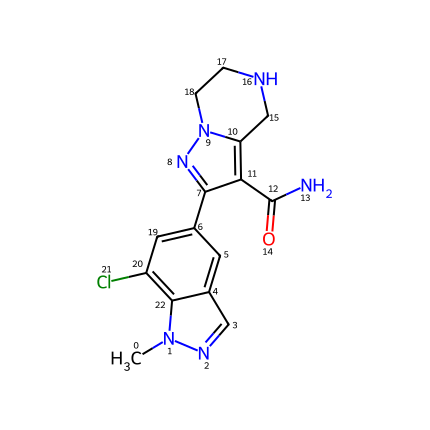 Cn1ncc2cc(-c3nn4c(c3C(N)=O)CNCC4)cc(Cl)c21